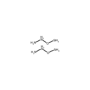 N[SiH2]O[SiH3].N[SiH2]O[SiH3]